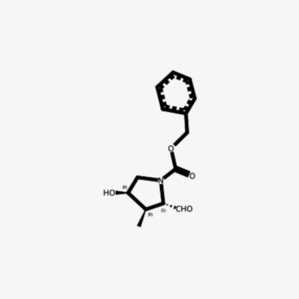 C[C@@H]1[C@@H](C=O)N(C(=O)OCc2ccccc2)C[C@@H]1O